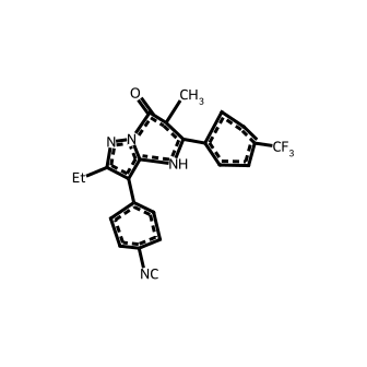 [C-]#[N+]c1ccc(-c2c(CC)nn3c(=O)c(C)c(-c4ccc(C(F)(F)F)cc4)[nH]c23)cc1